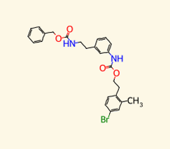 Cc1cc(Br)ccc1CCOC(=O)Nc1cccc(CCNC(=O)OCc2ccccc2)c1